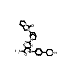 NC(=O)c1nnc(N2CC3CC(N4CC5=CCCN5C4=O)C2C3)nc1Nc1ccc(C2CCNCC2)cc1